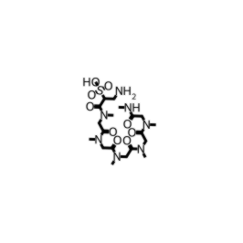 CNC(=O)CN(C)C(=O)CN(C)C(=O)CN(C)C(=O)CN(C)C(=O)CN(C)C(=O)C(CN)S(=O)(=O)O